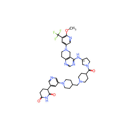 COc1ncc(N2CCc3ncnc(N[C@H]4CCN(C(=O)C5CCN(CC6CCN(c7cncc(C8CCC(=O)NC8=O)c7)CC6)CC5)C4)c3C2)cc1C(F)(F)F